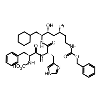 CC(C)[C@@H](CCNC(=O)OCc1ccccc1)C[C@H](O)[C@H](CC1CCCCC1)NC(=O)[C@H](Cc1c[nH]cn1)NC(=O)[C@H](Cc1ccccc1)NC(=O)O